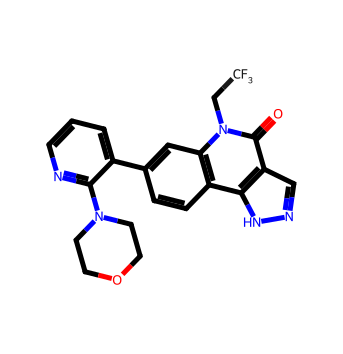 O=c1c2cn[nH]c2c2ccc(-c3cccnc3N3CCOCC3)cc2n1CC(F)(F)F